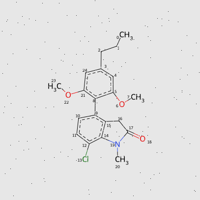 CCCc1cc(OC)c(-c2ccc(Cl)c3c2CC(=O)N3C)c(OC)c1